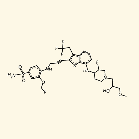 COCC(O)CN1CCC(Nc2cccc3c(CC(F)(F)F)c(C#CCNc4ccc(S(N)(=O)=O)cc4OCF)sc23)C(F)C1